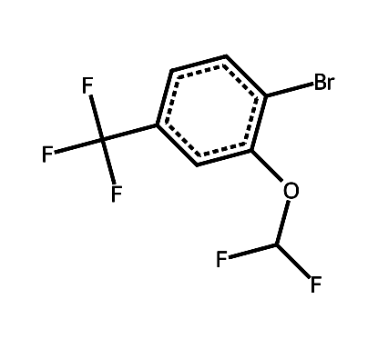 FC(F)Oc1cc(C(F)(F)F)ccc1Br